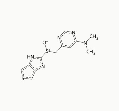 CN(C)c1cc(C[S+]([O-])c2nc3cscc3[nH]2)ncn1